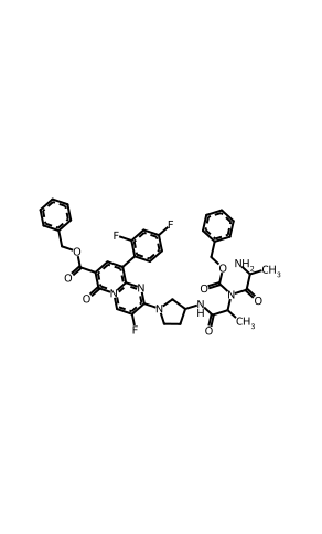 CC(N)C(=O)N(C(=O)OCc1ccccc1)C(C)C(=O)NC1CCN(c2nc3c(-c4ccc(F)cc4F)cc(C(=O)OCc4ccccc4)c(=O)n3cc2F)C1